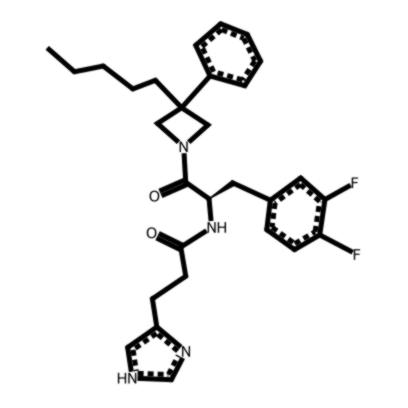 CCCCCC1(c2ccccc2)CN(C(=O)[C@@H](Cc2ccc(F)c(F)c2)NC(=O)CCc2c[nH]cn2)C1